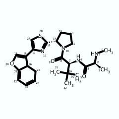 CN[C@@H](C)C(=O)N[C@H](C(=O)N1CCC[C@H]1c1nc(C2=COC3=CC=CCC32)cs1)C(C)(C)C